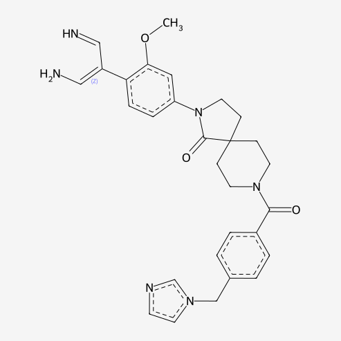 COc1cc(N2CCC3(CCN(C(=O)c4ccc(Cn5ccnc5)cc4)CC3)C2=O)ccc1/C(C=N)=C/N